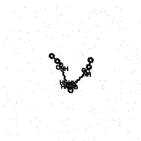 O=C(NCCCCCCNC(=O)Oc1ccc(-c2ccccc2)cc1)N[C@@H]1CCCC[C@H]1NC(=O)NCCCCCCNC(=O)Oc1ccc(-c2ccccc2)cc1